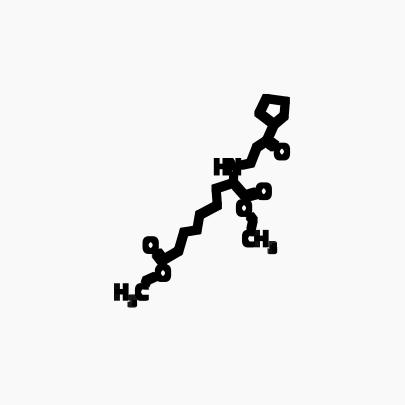 CCOC(=O)CCCCCCC(NCCC(=O)C1CCCC1)C(=O)OCC